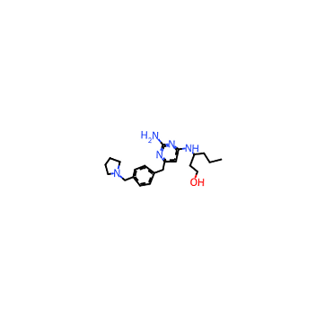 CCCC(CCO)Nc1cc(Cc2ccc(CN3CCCC3)cc2)nc(N)n1